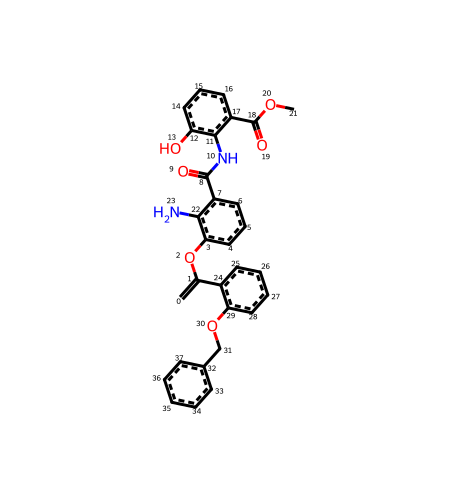 C=C(Oc1cccc(C(=O)Nc2c(O)cccc2C(=O)OC)c1N)c1ccccc1OCc1ccccc1